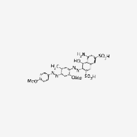 COc1ccc(N=Nc2cc(OC)c(N=Nc3c(S(=O)(=O)O)cc4cc(S(=O)(=O)O)cc(N)c4c3O)cc2C)cc1